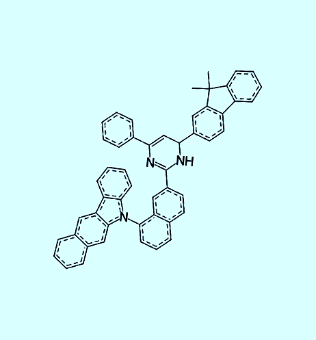 CC1(C)c2ccccc2-c2ccc(C3C=C(c4ccccc4)N=C(c4ccc5cccc(-n6c7ccccc7c7cc8ccccc8cc76)c5c4)N3)cc21